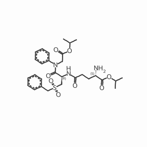 CC(C)OC(=O)CN(C(=O)[C@H](CS(=O)(=O)Cc1ccccc1)NC(=O)CC[C@H](N)C(=O)OC(C)C)c1ccccc1